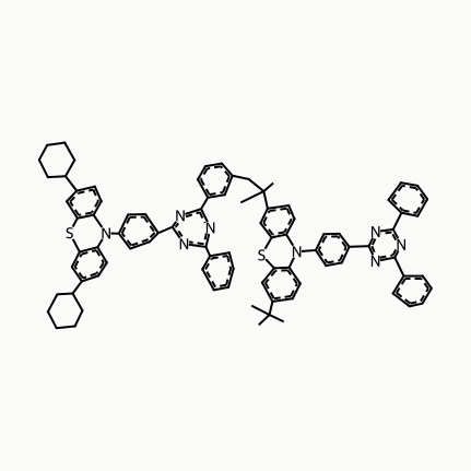 CC(C)(C)c1ccc2c(c1)Sc1cc(C(C)(C)Cc3cccc(-c4nc(-c5ccccc5)nc(-c5ccc(N6c7ccc(C8CCCCC8)cc7Sc7cc(C8CCCCC8)ccc76)cc5)n4)c3)ccc1N2c1ccc(-c2nc(-c3ccccc3)nc(-c3ccccc3)n2)cc1